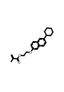 C=C(C)C(=O)OCCOc1ccc2cc(C3CCCCC3)ccc2c1